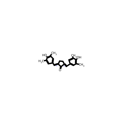 Cc1cc(/C=C2\CC/C(=C\c3cc(C)c(O)c(C)c3)C2=O)cc(C)c1O